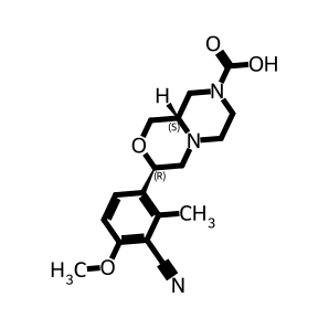 COc1ccc([C@@H]2CN3CCN(C(=O)O)C[C@H]3CO2)c(C)c1C#N